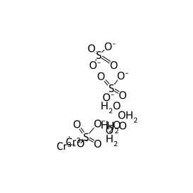 O.O.O.O.O.O=S(=O)([O-])[O-].O=S(=O)([O-])[O-].O=S(=O)([O-])[O-].[Cr+3].[Cr+3]